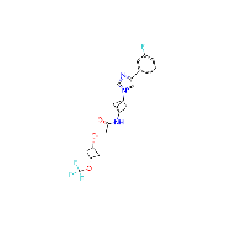 O=C(CO[C@H]1C[C@@H](OC(F)(F)F)C1)NC12CC(n3cnc(-c4cccc(F)c4)c3)(C1)C2